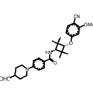 COc1cc(O[C@H]2C(C)(C)[C@H](NC(=O)c3ccc(N4CCC(C=O)CC4)cc3)C2(C)C)ccc1C#N